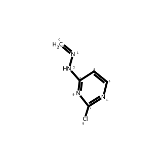 C=NNc1ccnc(Cl)n1